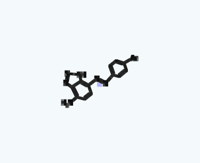 CC(=O)c1ccc(/N=N/c2ccc(N)c3nn[nH]c23)cc1